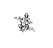 CCC(C)(C)C[C@H](NC(=O)Oc1ccoc1)C(=O)NC1C(=O)COC1CCN(C)C